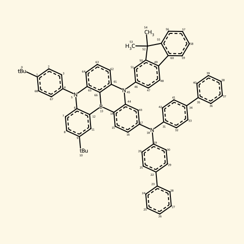 CC(C)(C)c1ccc(N2c3ccc(C(C)(C)C)cc3B3c4ccc(N(c5ccc(-c6ccccc6)cc5)c5ccc(-c6ccccc6)cc5)cc4N(c4ccc5c(c4)C(C)(C)c4ccccc4-5)c4cccc2c43)cc1